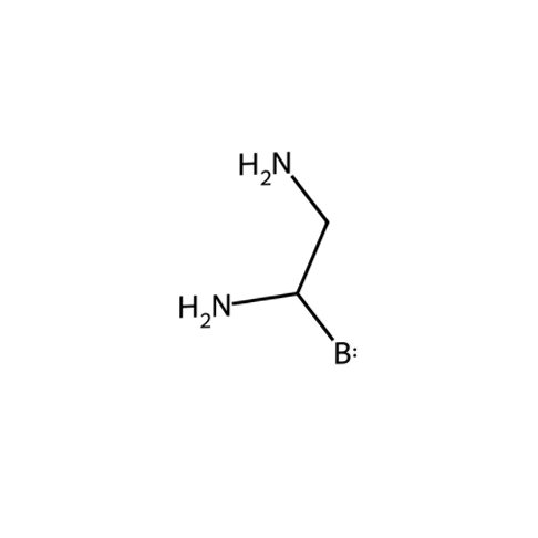 [B]C(N)CN